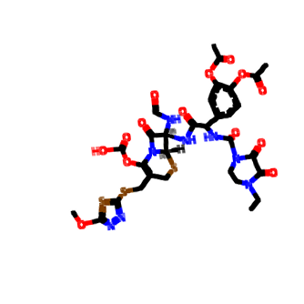 CCN1CCN(C(=O)NC(C(=O)N[C@]2(NC=O)C(=O)N3C(OC(=O)O)=C(CSc4nnc(OC)s4)CS[C@H]32)c2ccc(OC(C)=O)c(OC(C)=O)c2)C(=O)C1=O